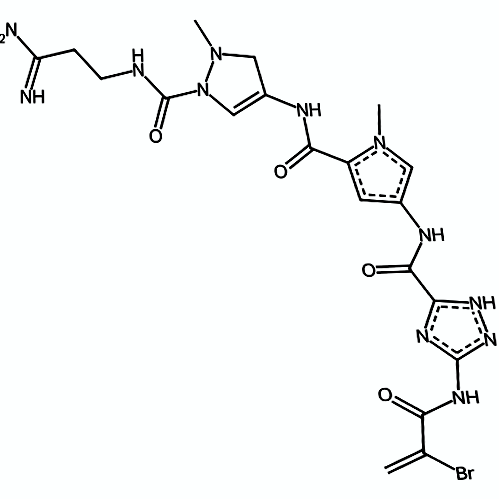 C=C(Br)C(=O)Nc1n[nH]c(C(=O)Nc2cc(C(=O)NC3=CN(C(=O)NCCC(=N)N)N(C)C3)n(C)c2)n1